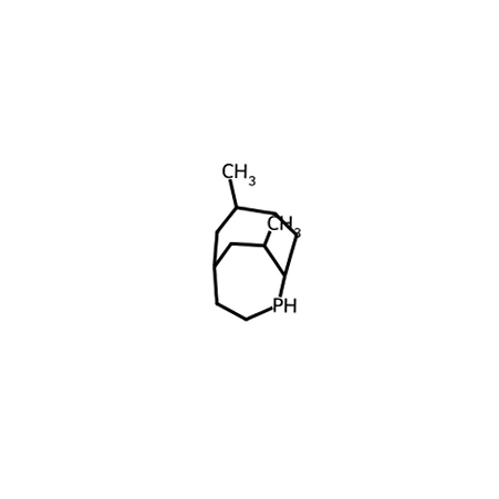 CC1CCC2PCCC(C1)CC2C